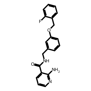 Nc1ncccc1C(=O)NCc1cccc(OCc2ccccc2F)c1